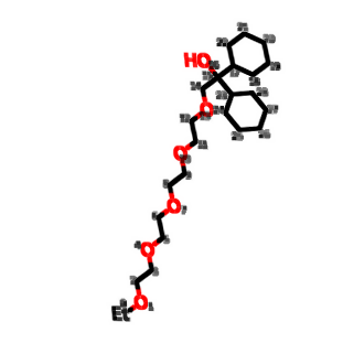 CCOCCOCCOCCOCCOCC(O)(C1CCCCC1)C1CCCCC1